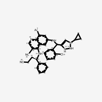 CC(=O)c1cc(NC(C2=CN(C3CC3)NN2)c2ccccc2Cl)cc2c(N[C@H](CCC#N)c3ccccc3)c(C#N)cnc12